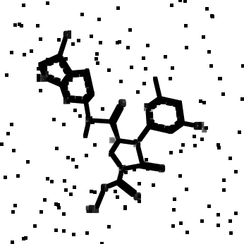 Cc1cc(C(F)(F)F)cc(N2C(=O)N(C(=O)OC(C)(C)C)C[C@H]2C(=O)N(C)c2ccc3c(Cl)c[nH]c3n2)n1